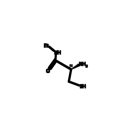 CCNC(=O)[C@H](N)CS